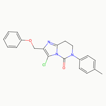 Cc1ccc(N2CCc3nc(COc4ccccc4)c(Cl)n3C2=O)cc1